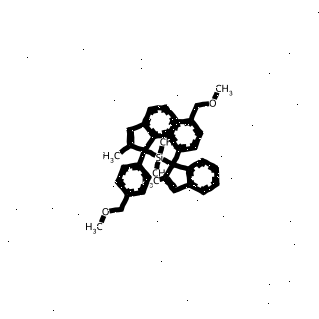 COCc1ccc(C2([Si](C)(C)C3(c4ccc(COC)cc4)C(C)=Cc4ccccc43)C(C)=Cc3ccccc32)cc1